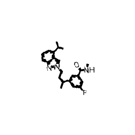 CNC(=O)c1cc(F)cc(C(C)CCn2cc3c(C(C)C)cccc3n2)c1